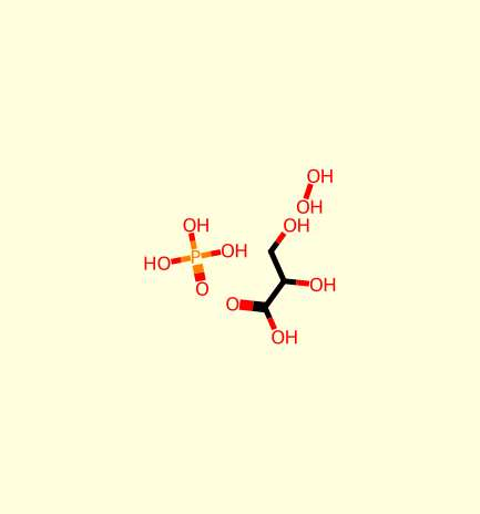 O=C(O)C(O)CO.O=P(O)(O)O.OO